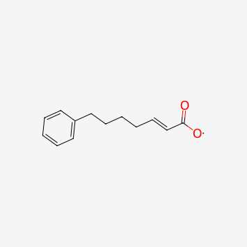 [O]C(=O)C=CCCCCc1ccccc1